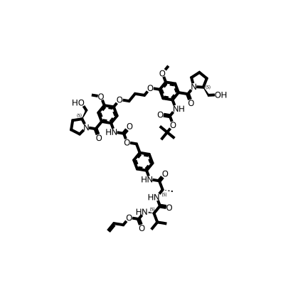 C=CCOC(=O)N[C@H](C(=O)N[C@@H](C)C(=O)Nc1ccc(COC(=O)Nc2cc(OCCCOc3cc(NC(=O)OC(C)(C)C)c(C(=O)N4CCC[C@H]4CO)cc3OC)c(OC)cc2C(=O)N2CCC[C@H]2CO)cc1)C(C)C